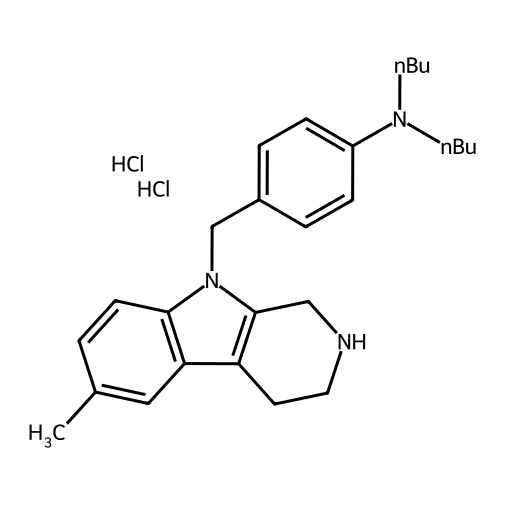 CCCCN(CCCC)c1ccc(Cn2c3c(c4cc(C)ccc42)CCNC3)cc1.Cl.Cl